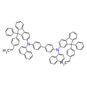 C=Cc1ccc(C2(c3ccccc3)c3ccccc3-c3ccc(N(c4ccc(-c5ccc(N(c6ccc7c(c6)C(c6ccccc6)(c6ccc(C=C)cc6)c6ccccc6-7)c6cccc7ccccc67)cc5)cc4)c4cccc5ccccc45)cc32)cc1